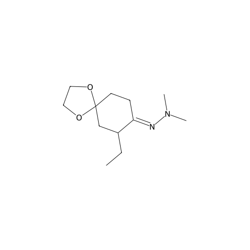 CCC1CC2(CCC1=NN(C)C)OCCO2